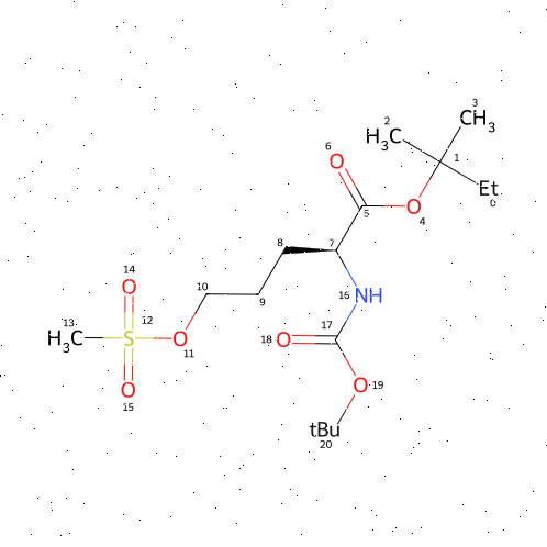 CCC(C)(C)OC(=O)[C@H](CCCOS(C)(=O)=O)NC(=O)OC(C)(C)C